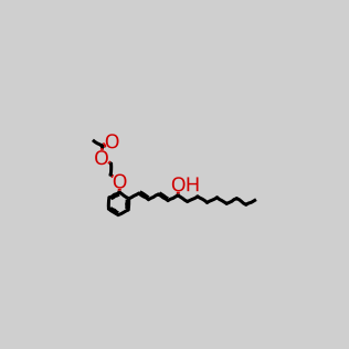 CCCCCCCCC(O)C=CC=Cc1ccccc1OCCOC(C)=O